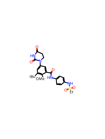 CCS(=O)(=O)Nc1ccc(NC(=O)c2cc(N3CCC(=O)NC3=O)cc(C(C)(C)C)c2OC)cc1